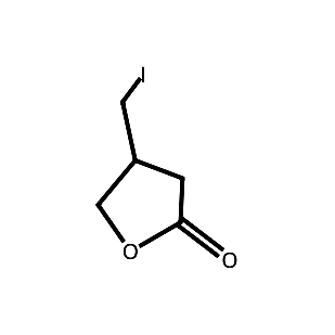 O=C1CC(CI)CO1